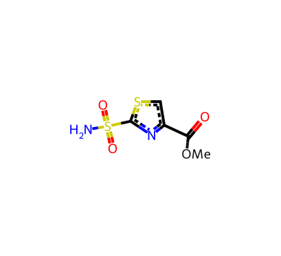 COC(=O)c1csc(S(N)(=O)=O)n1